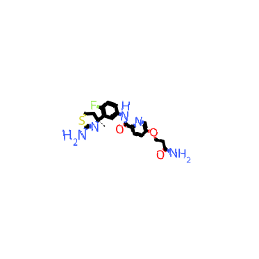 C[C@@]1(c2cc(NC(=O)c3ccc(OCCC(N)=O)cn3)ccc2F)CCSC(N)=N1